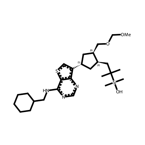 COCOC[C@@H]1C[C@@H](c2csc3c(NCC4CCCCC4)ncnc23)C[C@@H]1CC(C)(C)[Si](C)(C)O